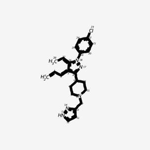 C=C/C=c1/c(C2CCN(Cc3cc[nH]n3)CC2)nn(-c2ccc(Cl)cc2)/c1=C/C